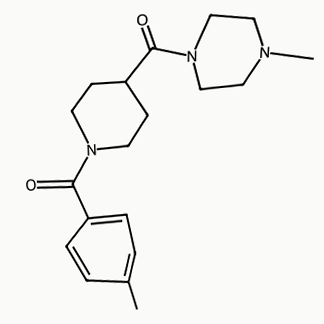 Cc1ccc(C(=O)N2CCC(C(=O)N3CCN(C)CC3)CC2)cc1